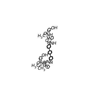 CC[C@H](NC(=O)N1CC[C@H](O)C1)C(=O)N1CCC[C@H]1c1nc2ccc(-c3ccc(-c4ccc5nc([C@@H]6CCCN6OC[C@@H](NC(=O)N6CC[C@H](O)C6)C(C)C)[nH]c5c4)cc3)cc2[nH]1